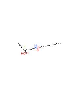 CCCCCCCCCCCCCCCCOC(=O)NCCCCCCC(C(=O)O)C(C)C(F)CCCCC